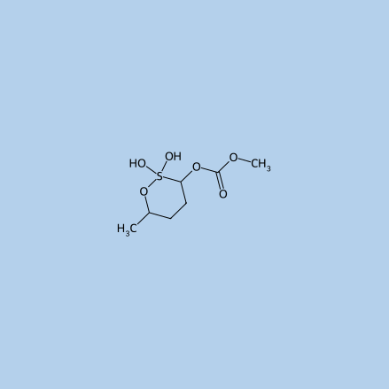 COC(=O)OC1CCC(C)OS1(O)O